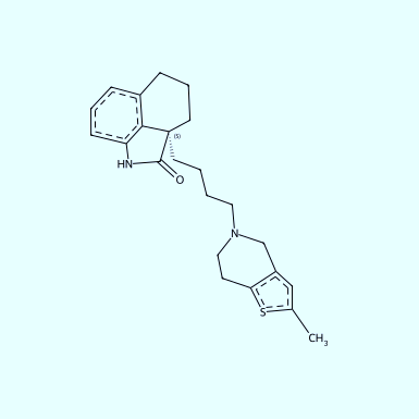 Cc1cc2c(s1)CCN(CCCC[C@@]13CCCc4cccc(c41)NC3=O)C2